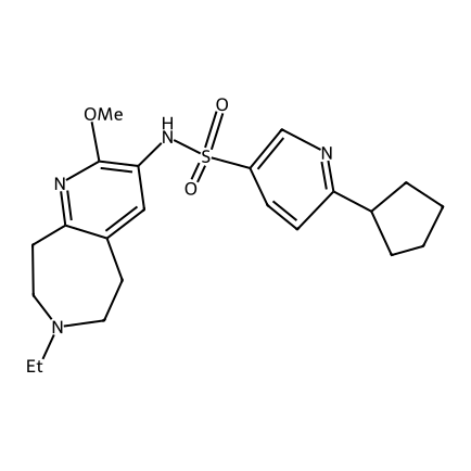 CCN1CCc2cc(NS(=O)(=O)c3ccc(C4CCCC4)nc3)c(OC)nc2CC1